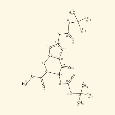 COC(=O)C1Cc2c[n+](CC(=O)OC(C)(C)C)cn2C(=O)N1CC(=O)OC(C)(C)C